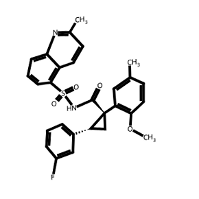 COc1ccc(C)cc1[C@]1(C(=O)NS(=O)(=O)c2cccc3nc(C)ccc23)C[C@@H]1c1cccc(F)c1